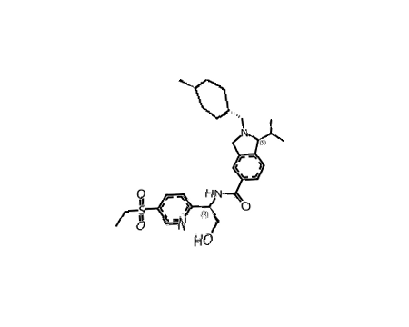 CCS(=O)(=O)c1ccc([C@H](CO)NC(=O)c2ccc3c(c2)CN(C[C@H]2CC[C@H](C)CC2)[C@H]3C(C)C)nc1